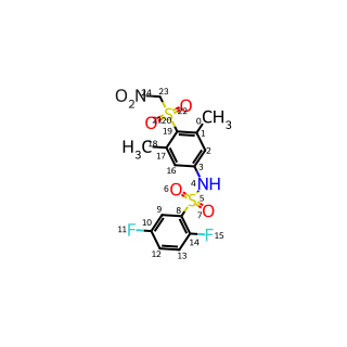 Cc1cc(NS(=O)(=O)c2cc(F)ccc2F)cc(C)c1S(=O)(=O)C[N+](=O)[O-]